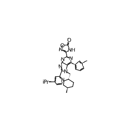 Cc1cccc(-c2nc(-c3noc(=O)[nH]3)nc3nc(-c4cc(C(C)C)ccn4)n(C[C@H]4CC[C@H](C)CC4)c23)c1